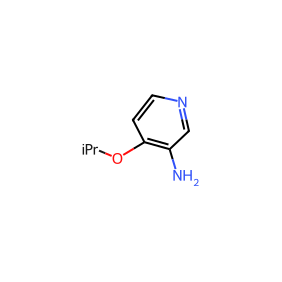 CC(C)Oc1ccncc1N